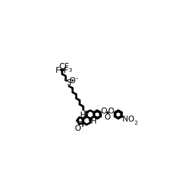 C[C@]12CC[C@@H]3c4ccc(OC(=O)Oc5ccc([N+](=O)[O-])cc5)cc4C[C@@H](CCCCCCCCC[S+]([O-])CCCC(F)(F)C(F)(F)F)[C@H]3[C@@H]1CCC2=O